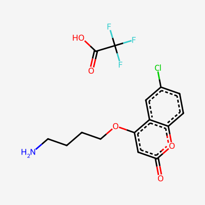 NCCCCOc1cc(=O)oc2ccc(Cl)cc12.O=C(O)C(F)(F)F